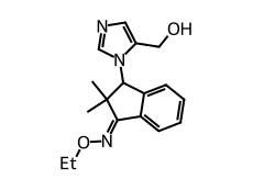 CCON=C1c2ccccc2C(n2cncc2CO)C1(C)C